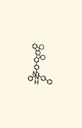 C1=CC(C2=CC(c3ccc(C4=CC5C(C=C4)C4=CC6=C(CC4C54CCCCC4)C4(CCCCC4)c4ccccc46)cc3)=NC(c3ccccc3)N2)CC=C1c1ccccc1